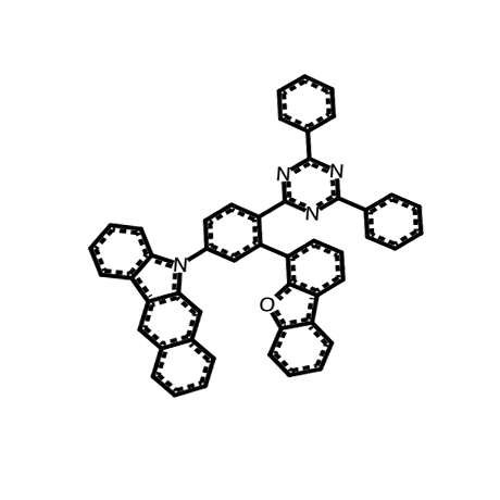 c1ccc(-c2nc(-c3ccccc3)nc(-c3ccc(-n4c5ccccc5c5cc6ccccc6cc54)cc3-c3cccc4c3oc3ccccc34)n2)cc1